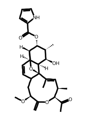 C=C1O[C@H](C(C)=O)[C@H](C)/C=C(\C)[C@]23O[C@@H]4[C@H](C=CC2C[C@@H]1OC)[C@H]3[C@H](O)[C@@H](C)[C@H]4OC(=O)c1ccc[nH]1